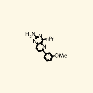 CCCc1nc(N)nc2ccc(-c3cccc(OC)c3)nc12